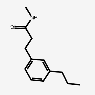 CCCc1cccc(CCC(=O)NC)c1